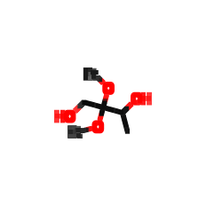 CCOC(CO)(OCC)C(C)O